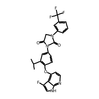 CC(C)c1cc(N2C(=O)CN(c3cccc(C(F)(F)F)c3)C2=O)ccc1Oc1ccnc2[nH]cc(F)c12